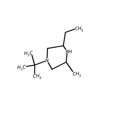 CCC1BC(C)CN(C(C)(C)C)C1